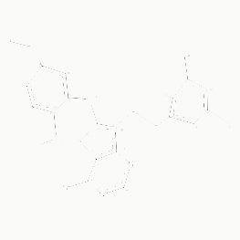 COc1ccc(OC)c(Sc2nc3c(N)ncnc3n2CCc2cc(C)cc(C)c2)c1